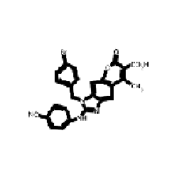 Cc1c(C(=O)O)c(=O)oc2cc3c(cc12)nc(Nc1ccc(C#N)cc1)n3Cc1ccc(Br)cc1